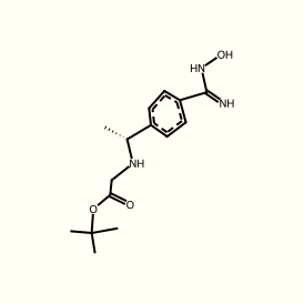 C[C@@H](NCC(=O)OC(C)(C)C)c1ccc(C(=N)NO)cc1